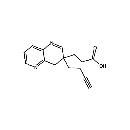 C#CCCC1(CCC(=O)O)C=Nc2cccnc2C1